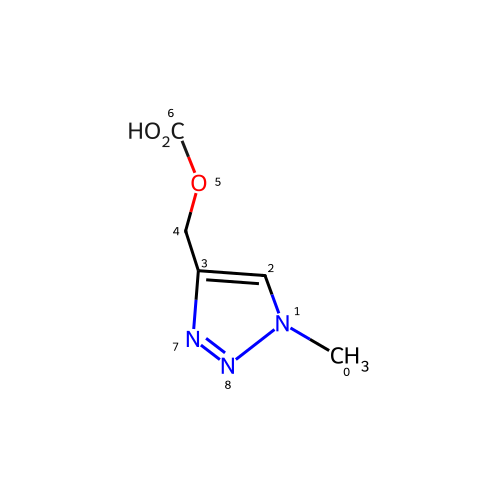 Cn1cc(COC(=O)O)nn1